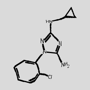 Nc1nc(NC2CC2)nn1-c1ccccc1Cl